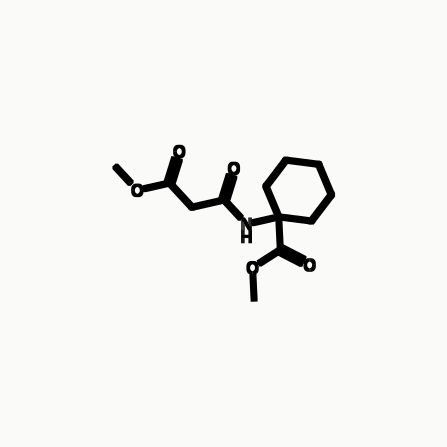 COC(=O)CC(=O)NC1(C(=O)OC)CCCCC1